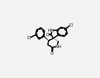 O=C1C[C@@H](c2cccc(Cl)c2)[C@@]2(CN1)C(=O)Nc1cc(Cl)ccc12